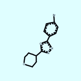 Brc1ccc(-c2nnc(C3CCOCC3)o2)cc1